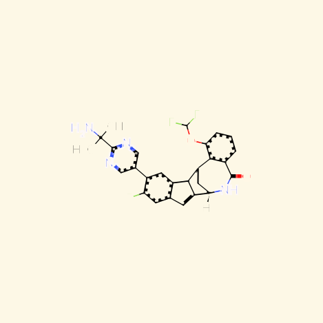 CC(C)(N)c1ncc(-c2cc3c(cc2F)C=C2C3C3C[C@@H]2NC(=O)c2cccc(OC(F)F)c23)cn1